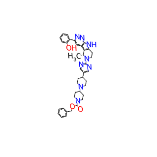 C[C@@H]1c2c([nH]c3nnc(-c4ccccc4O)cc23)CCN1c1ncc(C2CCN(C3CCN(C(=O)OCc4ccccc4)CC3)CC2)cn1